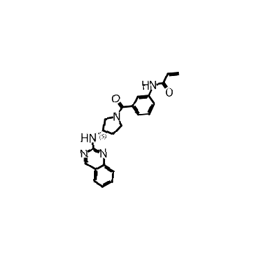 C=CC(=O)Nc1cccc(C(=O)N2CC[C@H](Nc3ncc4ccccc4n3)C2)c1